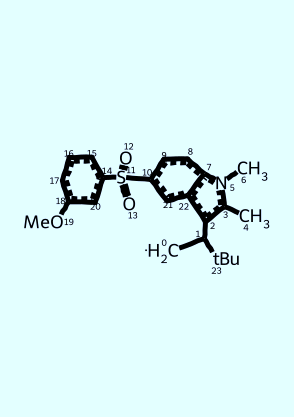 [CH2]C(c1c(C)n(C)c2ccc(S(=O)(=O)c3cccc(OC)c3)cc12)C(C)(C)C